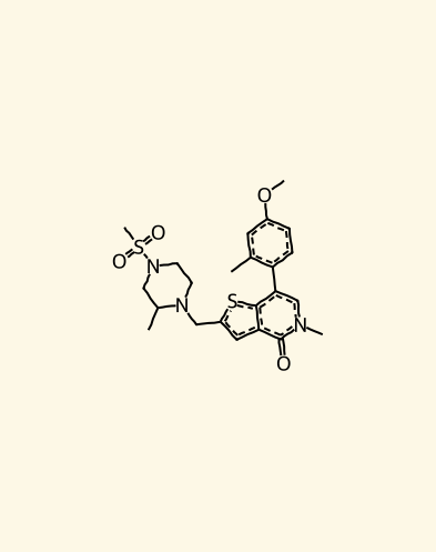 COc1ccc(-c2cn(C)c(=O)c3cc(CN4CCN(S(C)(=O)=O)CC4C)sc23)c(C)c1